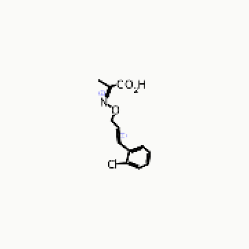 C/C(=N/OC/C=C/c1ccccc1Cl)C(=O)O